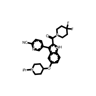 CC(C)N1CCC(Oc2ccc3[nH]c(C(=O)N4CCC(F)(F)CC4)c(-c4ccc(C#N)nc4)c3c2)CC1